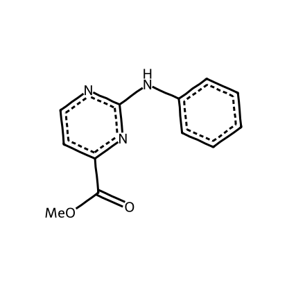 COC(=O)c1ccnc(Nc2ccccc2)n1